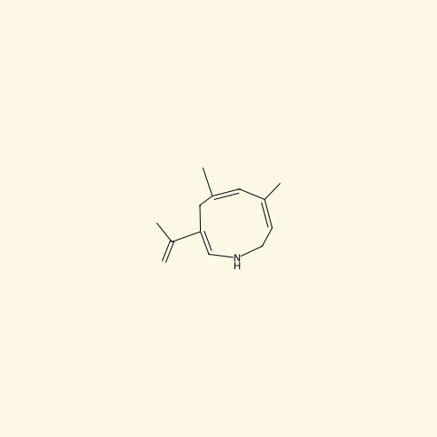 C=C(C)/C1=C/NC/C=C(C)\C=C(\C)C1